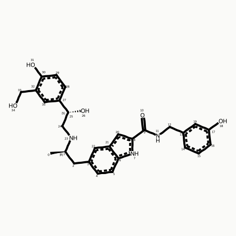 C[C@H](Cc1ccc2[nH]c(C(=O)NCc3cccc(O)c3)cc2c1)NC[C@@H](O)c1ccc(O)c(CO)c1